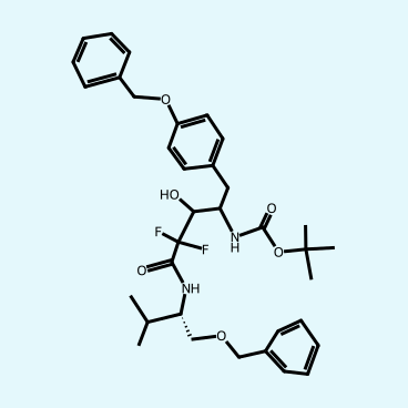 CC(C)[C@@H](COCc1ccccc1)NC(=O)C(F)(F)C(O)C(Cc1ccc(OCc2ccccc2)cc1)NC(=O)OC(C)(C)C